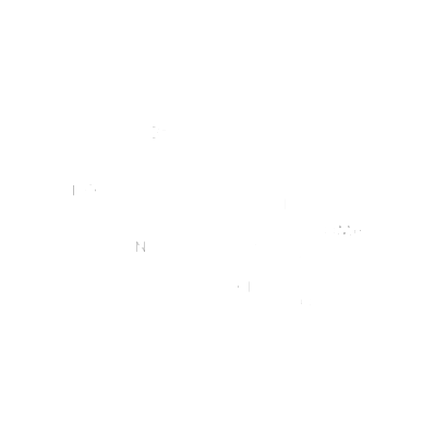 COC(=O)C(C)(C)c1cnc(O)c(Br)c1